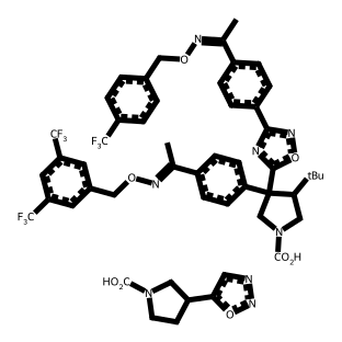 CC(=NOCc1ccc(C(F)(F)F)cc1)c1ccc(-c2noc(C3(c4ccc(C(C)=NOCc5cc(C(F)(F)F)cc(C(F)(F)F)c5)cc4)CN(C(=O)O)CC3C(C)(C)C)n2)cc1.O=C(O)N1CCC(c2cnno2)C1